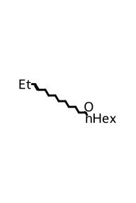 CCC=CCCCCCCCCC(=O)CCCCCC